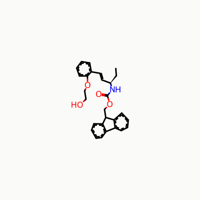 CC[C@H](/C=C/c1ccccc1OCCO)NC(=O)OCC1c2ccccc2-c2ccccc21